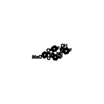 COc1ccc(CN2C(=O)c3ccc4cnc(-n5cc(O)c6cc(F)ccc65)nc4c3[C@H]2c2cc(F)ccc2Cl)cc1